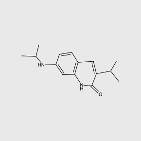 CC(C)Nc1ccc2cc(C(C)C)c(=O)[nH]c2c1